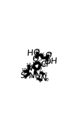 CN1CCN(C2=Nc3cscc3N(C)c3ccc(Cl)cc32)CC1.O=C(O)/C=C/C(=O)O